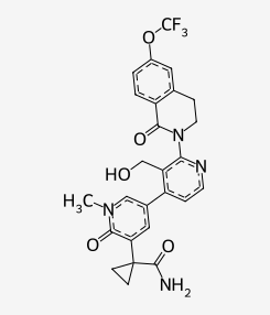 Cn1cc(-c2ccnc(N3CCc4cc(OC(F)(F)F)ccc4C3=O)c2CO)cc(C2(C(N)=O)CC2)c1=O